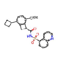 COc1ccc(C2CCC2)c2c1[C@@H](C(=O)NS(=O)(=O)c1cccc3ncccc13)C2